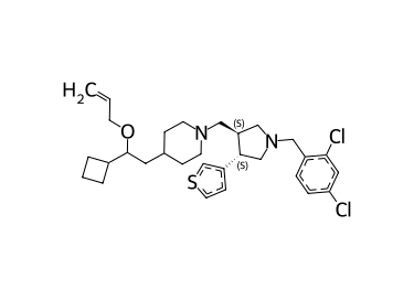 C=CCOC(CC1CCN(C[C@H]2CN(Cc3ccc(Cl)cc3Cl)C[C@@H]2c2ccsc2)CC1)C1CCC1